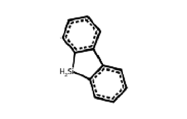 [c]1cccc2c1[SiH2]c1ccccc1-2